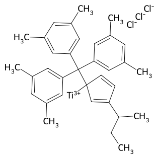 CCC(C)C1=C[C]([Ti+3])(C(c2cc(C)cc(C)c2)(c2cc(C)cc(C)c2)c2cc(C)cc(C)c2)C=C1.[Cl-].[Cl-].[Cl-]